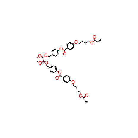 C=CC(=O)OCCCCOc1ccc(C(=O)Oc2ccc(CO[C@@H]3OCCO[C@H]3OCc3ccc(OC(=O)c4ccc(OCCCCOC(=O)C=C)cc4)cc3)cc2)cc1